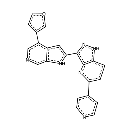 c1cc(-c2ccc3[nH]nc(-c4cc5c(-c6ccoc6)cncc5[nH]4)c3n2)ccn1